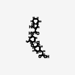 Cc1cc(NC(=O)c2cc3ccccc3[nH]2)ccc1Oc1ccc(CC(=O)O)cc1Cl